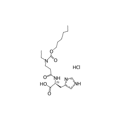 CCCCCCOC(=O)N(CC)CCC(=O)N[C@@H](Cc1c[nH]cn1)C(=O)O.Cl